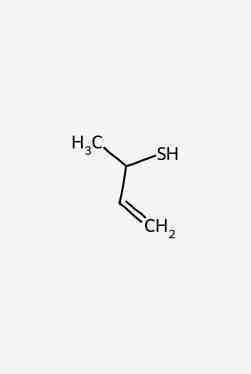 C=CC(C)S